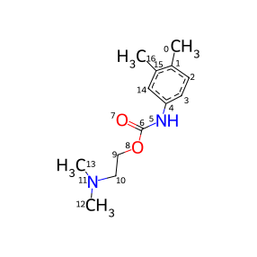 Cc1ccc(NC(=O)OCCN(C)C)cc1C